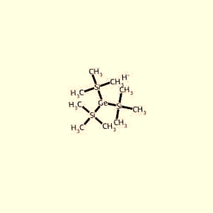 C[Si](C)(C)[Ge]([Si](C)(C)C)[Si](C)(C)C.[H-]